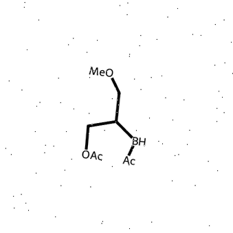 COCC(BC(C)=O)COC(C)=O